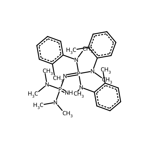 Cc1ccccc1N(C)P(=NP(=N)(N(C)C)N(C)C)(N(C)c1ccccc1C)N(C)c1ccccc1C